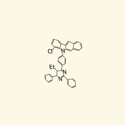 CCC1C(c2ccc(-n3c4cc5ccccc5cc4c4cccc(Cl)c43)cc2)=NC(c2ccccc2)=NC1c1ccccc1